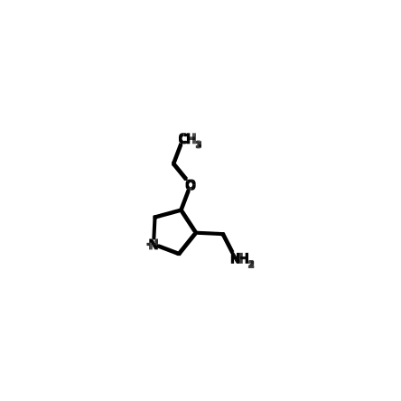 CCOC1C[N]CC1CN